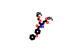 CCOCOCC(CCC(=O)OC)NC(=O)c1ccc(Oc2ccccc2)cc1